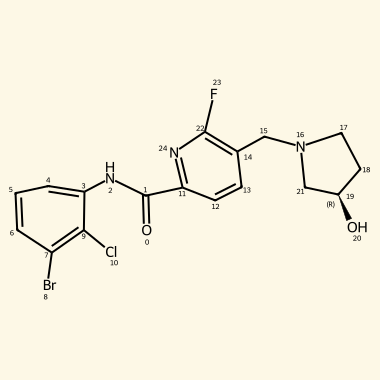 O=C(Nc1cccc(Br)c1Cl)c1ccc(CN2CC[C@@H](O)C2)c(F)n1